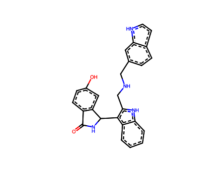 O=C1NC(c2c(CNCc3ccc4cc[nH]c4c3)[nH]c3ccccc23)c2cc(O)ccc21